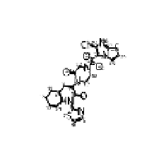 O=C(Nc1nccs1)C(CC1CCCCC1)N1CCN(S(=O)(=O)c2c(Cl)nc3sccn23)CC1=O